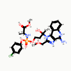 CCCC(O)(CCOP(=O)(N[C@@H](C)C(=O)OC(C)C)Oc1ccc(Cl)cc1)n1c(COCC)nc2c(N)nc3ccccc3c21